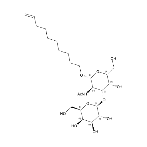 C=CCCCCCCCCO[C@@H]1O[C@H](CO)[C@H](O)[C@H](O[C@@H]2O[C@H](CO)[C@H](O)[C@H](O)[C@H]2O)[C@H]1NC(C)=O